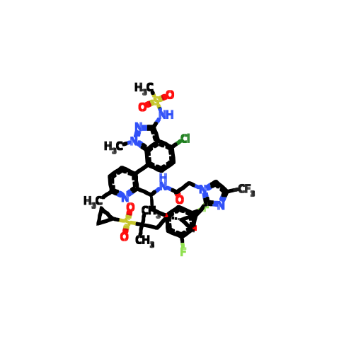 Cc1ccc(-c2ccc(Cl)c3c(NS(C)(=O)=O)nn(C)c23)c([C@H](Cc2cc(F)cc(F)c2)NC(=O)Cn2cc(C(F)(F)F)nc2C2C[C@@H]2CCC(C)(C)S(=O)(=O)C2CC2)n1